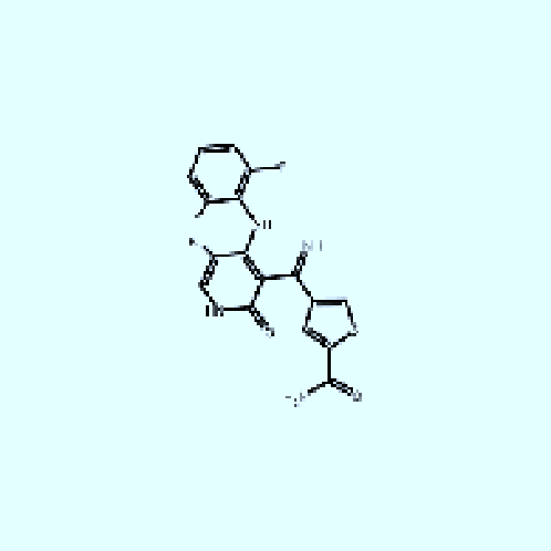 N=C(c1csc(C(N)=O)c1)c1c(Nc2c(F)cccc2F)c(Br)c[nH]c1=O